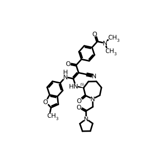 Cc1cc2cc(NC(N[C@H]3CCCCN(CC(=O)N4CCCC4)C3=O)=C(C#N)C(=O)c3ccc(C(=O)N(C)C)cc3)ccc2o1